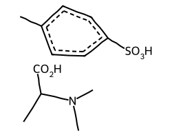 CC(C(=O)O)N(C)C.Cc1ccc(S(=O)(=O)O)cc1